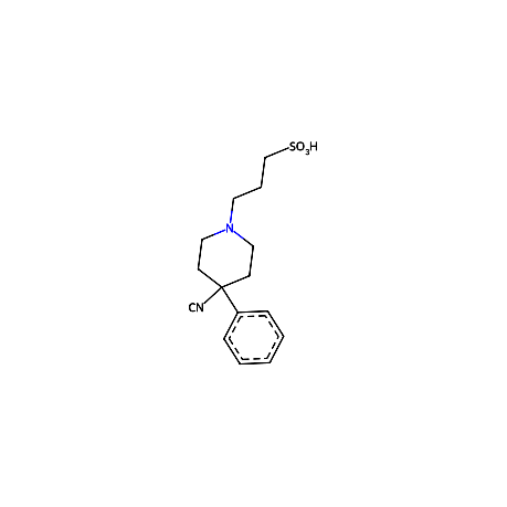 [C-]#[N+]C1(c2ccccc2)CCN(CCCS(=O)(=O)O)CC1